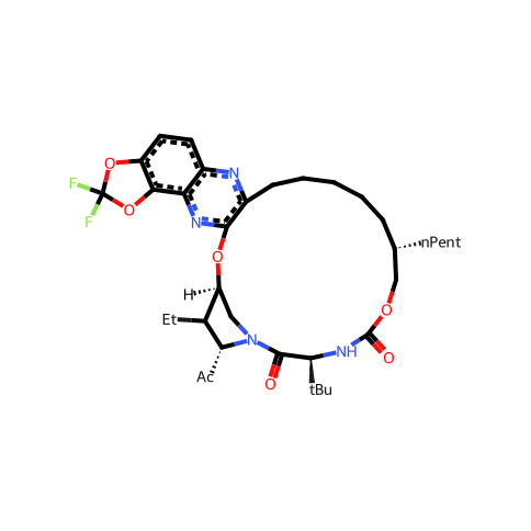 CCCCC[C@H]1CCCCCc2nc3ccc4c(c3nc2O[C@H]2CN(C(=O)[C@H](C(C)(C)C)NC(=O)OC1)[C@H](C(C)=O)C2CC)OC(F)(F)O4